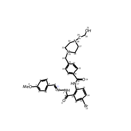 COc1ccc(/C=N/NC(=O)c2cc(Br)ccc2NC(=O)c2ccc(CN3CCN(CCO)CC3)cc2)cc1